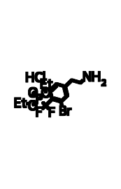 CCOP(=O)(OCC)C(F)(F)c1ccc(CCN)cc1Br.Cl